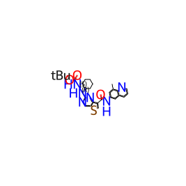 Cc1cc(NC(=O)c2csc3cnc(N[C@@H]4CCCC[C@@H]4NC(=O)OC(C)(C)C)nc23)cc2cccnc12